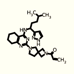 C=CC(=O)N1CC2(CCN(c3nc4c(c(NC(CCC(C)C)c5cc[nH]n5)n3)CCCC4)C2)C1